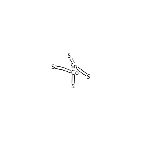 [S]=[Co]=[S].[S]=[Sn]=[S]